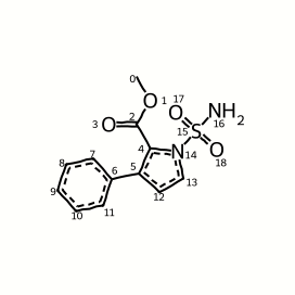 COC(=O)c1c(-c2ccccc2)ccn1S(N)(=O)=O